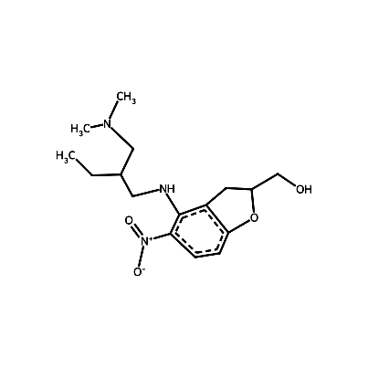 CCC(CNc1c([N+](=O)[O-])ccc2c1CC(CO)O2)CN(C)C